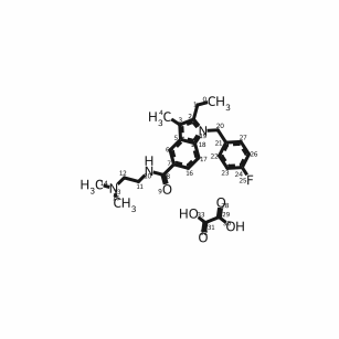 CCc1c(C)c2cc(C(=O)NCCN(C)C)ccc2n1Cc1ccc(F)cc1.O=C(O)C(=O)O